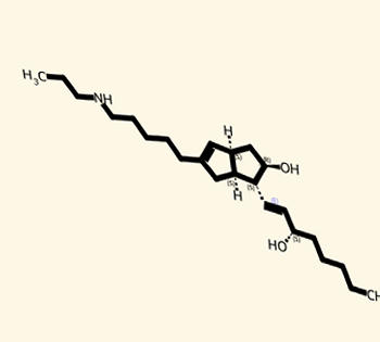 CCCCC[C@H](O)/C=C/[C@@H]1[C@H]2CC(CCCCCNCCC)=C[C@H]2C[C@H]1O